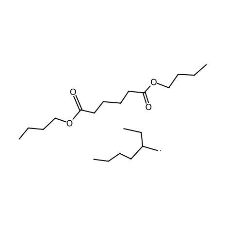 CCCCOC(=O)CCCCC(=O)OCCCC.[CH2]C(CC)CCCC